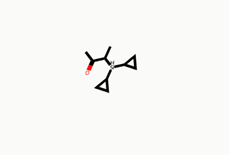 CC(=O)C(C)[SiH](C1CC1)C1CC1